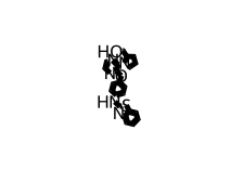 OCC1CCCN1c1nccnc1Oc1ccc(Nc2nc3ccccc3s2)cc1